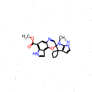 COC(=O)c1cc2c(c3cc[nH]c13)OC1(C=N2)N(C)c2[nH]ccc2C12CCCCC2